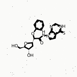 O=C(Nn1ccc2c(=S)[nH]cnc21)C(Oc1ccccc1)[C@@H]1C[C@H](O)[C@@H](CO)O1